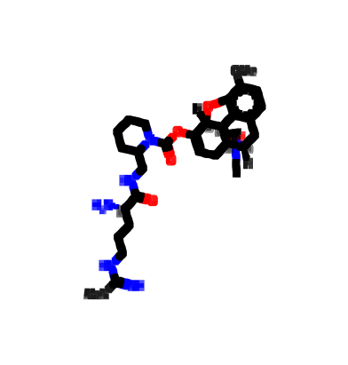 CNC(=N)NCCC[C@H](N)C(=O)NCC1CCCCN1C(=O)OC1=CC[C@@]2(O)[C@H]3Cc4ccc(OC)c5c4[C@@]2(CCN3C)[C@H]1O5